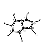 Cc1c(C)c(C)c2c(C)n(C)c(C)c2c1C